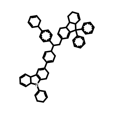 C1=CCC(c2ccc(C(CC3=CCC4C(=C3)C(c3ccccc3)(c3ccccc3)C3C=CCCC43)C3C=CC(C4=CC5=C(CC4)N(C4=CCCC=C4)C4C=CC=CC54)=CC3)cc2)C=C1